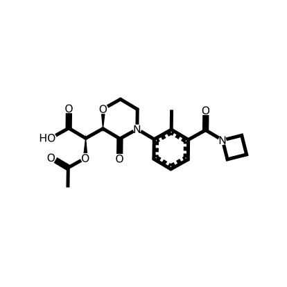 CC(=O)O[C@@H](C(=O)O)[C@H]1OCCN(c2cccc(C(=O)N3CCC3)c2C)C1=O